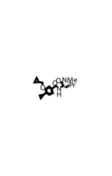 CNC(=O)[C@H](CC(C)C)NC(=O)c1ccc(C2CC2)c(OCC2CC2)c1